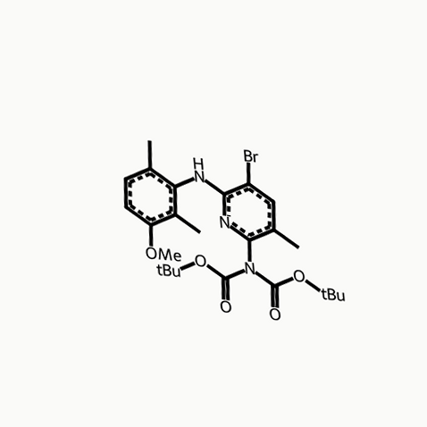 COc1ccc(C)c(Nc2nc(N(C(=O)OC(C)(C)C)C(=O)OC(C)(C)C)c(C)cc2Br)c1C